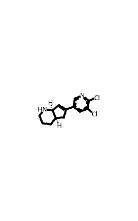 Clc1cc(C2=C[C@@H]3NCCC[C@@H]3C2)cnc1Cl